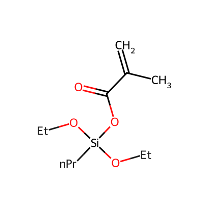 C=C(C)C(=O)O[Si](CCC)(OCC)OCC